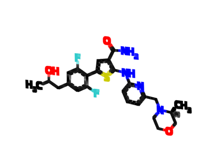 CC(O)Cc1cc(F)c(-c2cc(C(N)=O)c(Nc3cccc(CN4CCOC[C@@H]4C)n3)s2)c(F)c1